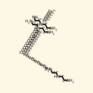 CC(=O)[O-].CC(=O)[O-].CC(=O)[O-].CC(=O)[O-].CC(=O)[O-].CC(=O)[O-].CC(=O)[O-].CC(=O)[O-].CC(=O)[O-].CC(=O)[O-].CC(=O)[O-].CC(=O)[O-].CC(=O)[O-].CC(=O)[O-].CC(=O)[O-].NCCNCCN.NCCNCCN.NCCNCCN.[Fe+3].[Fe+3].[Fe+3].[Fe+3].[Fe+3]